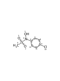 CS(=O)(=O)N(O)c1ccc(Cl)cc1